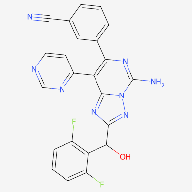 N#Cc1cccc(-c2nc(N)n3nc(C(O)c4c(F)cccc4F)nc3c2-c2ccncn2)c1